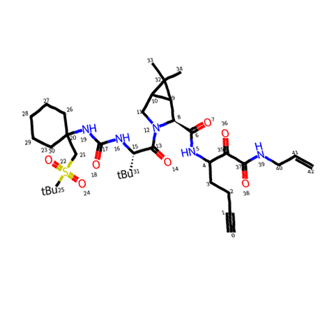 C#CCCC(NC(=O)[C@@H]1C2C(CN1C(=O)[C@@H](NC(=O)NC1(CS(=O)(=O)C(C)(C)C)CCCCC1)C(C)(C)C)C2(C)C)C(=O)C(=O)NCC=C